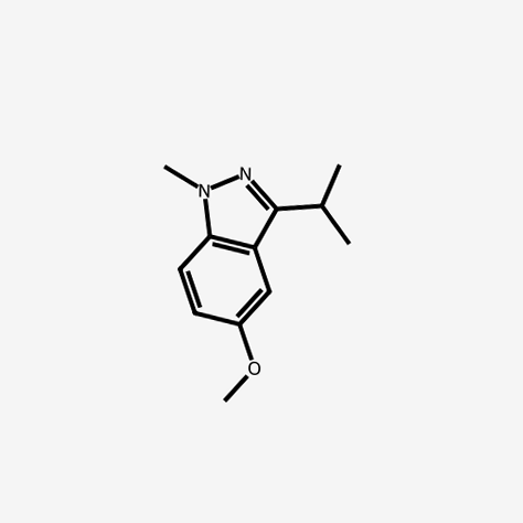 COc1ccc2c(c1)c(C(C)C)nn2C